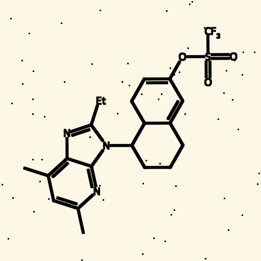 CCc1nc2c(C)cc(C)nc2n1C1CCCC2=CC(OS(=O)(=O)C(F)(F)F)=CCC21